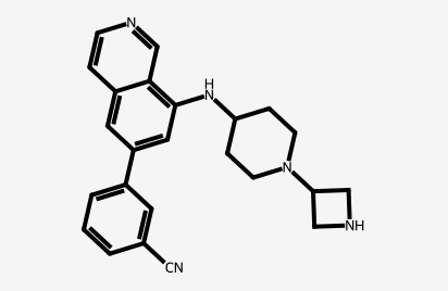 N#Cc1cccc(-c2cc(NC3CCN(C4CNC4)CC3)c3cnccc3c2)c1